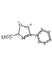 CCOC(=O)C1N=C(c2ccccc2)SO1